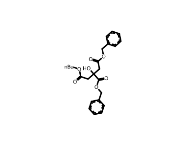 CCCCOC(=O)CC(O)(CC(=O)OCc1ccccc1)C(=O)OCc1ccccc1